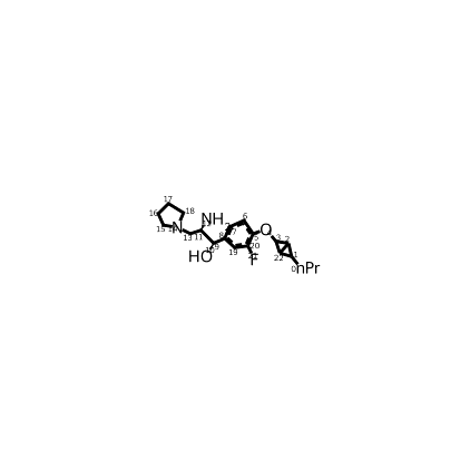 CCCC1C2C(Oc3ccc([C@@H](O)[C@H](N)CN4CCCC4)cc3F)C12